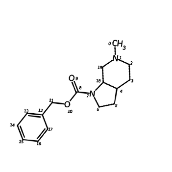 CN1CCC2CCN(C(=O)OCc3ccccc3)C2C1